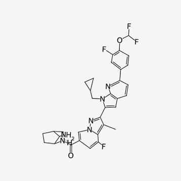 Cc1c(-c2cc3ccc(-c4ccc(OC(F)F)c(F)c4)nc3n2CC2CC2)nn2cc(C(=O)N3CC4CCC3[C@@H]4N)cc(F)c12